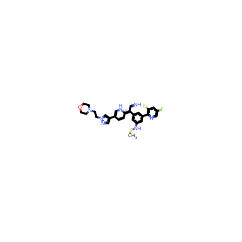 CSNc1cc(/C(C=N)=C2\C=CC(c3cnn(CCN4CCOCC4)c3)=CN2)cc(-c2ncc(F)cc2F)c1